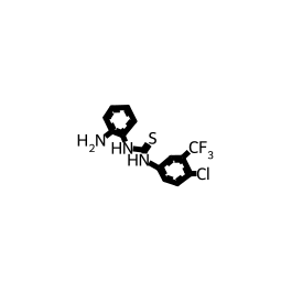 Nc1ccccc1NC(=S)Nc1ccc(Cl)c(C(F)(F)F)c1